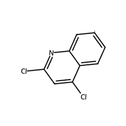 Clc1cc(Cl)c2cc[c]cc2n1